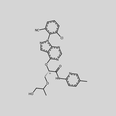 Cc1ccc(NC(=O)[C@H](COC(C)CO)Oc2ncnc3c2cnn3-c2c(Cl)cccc2C#N)nc1